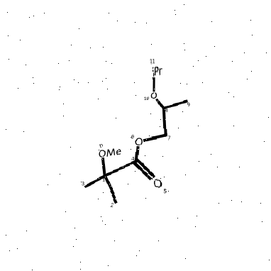 COC(C)(C)C(=O)OCC(C)OC(C)C